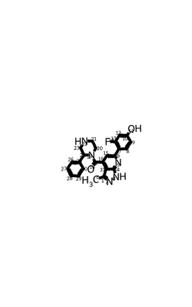 Cc1n[nH]c2nc(-c3ccc(O)cc3F)cc(C(=O)N3CCNCC3c3ccccc3)c12